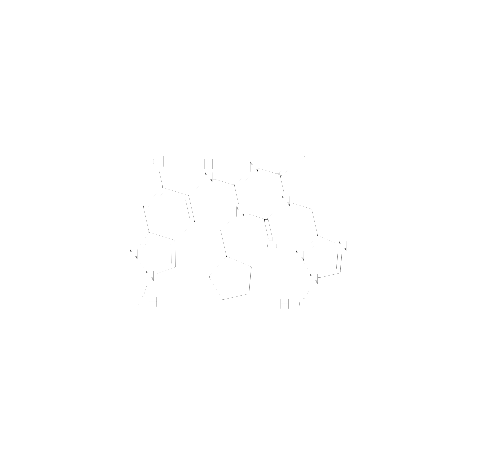 Cn1cnc(Cn2c(=O)nc(Nc3cc4cn(C)nc4cc3Cl)n(CC3CCCC3)c2=O)n1